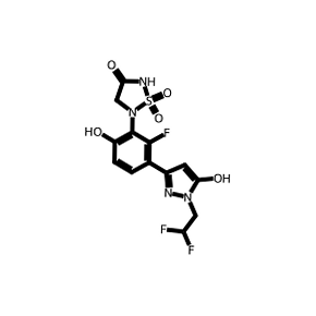 O=C1CN(c2c(O)ccc(-c3cc(O)n(CC(F)F)n3)c2F)S(=O)(=O)N1